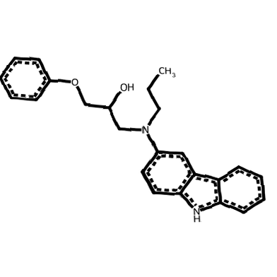 CCCN(CC(O)COc1ccccc1)c1ccc2[nH]c3ccccc3c2c1